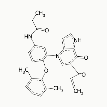 C=CC(=O)c1cn(-c2cc(NC(=O)CC)ccc2Oc2c(C)cccc2C)c2cc[nH]c2c1=O